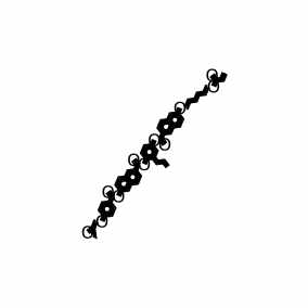 C=CC(=O)OCCCCCCOc1ccc2cc(C(=O)Oc3ccc(OC(=O)c4ccc5cc(OC(=O)c6ccc(OCC7CO7)cc6)ccc5c4)c(CCC)c3)ccc2c1